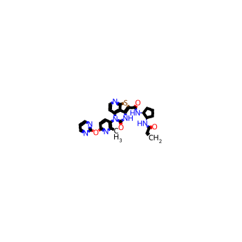 C=CC(=O)N[C@H]1CCC[C@H]1NC(=O)c1sc2nccc3c2c1NC(=O)N3c1ccc(Oc2ncccn2)nc1C